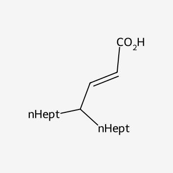 CCCCCCCC(/C=C/C(=O)O)CCCCCCC